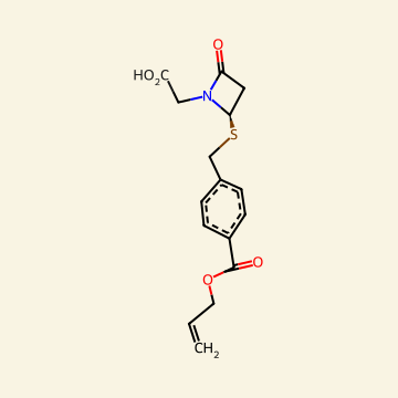 C=CCOC(=O)c1ccc(CS[C@@H]2CC(=O)N2CC(=O)O)cc1